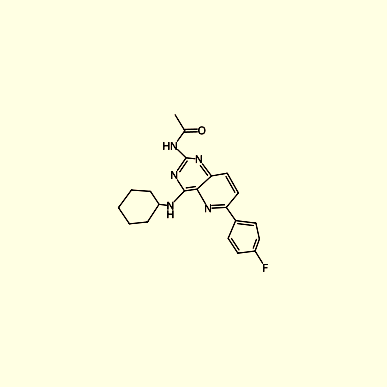 CC(=O)Nc1nc(NC2CCCCC2)c2nc(-c3ccc(F)cc3)ccc2n1